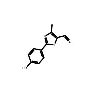 Cc1nc(-c2ccc(O)cc2)sc1C=O